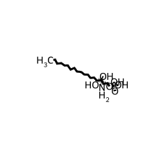 CCCCCCCCCCCCCCC(O)[C@@H](O)[C@@H](N)COP(=O)(O)O